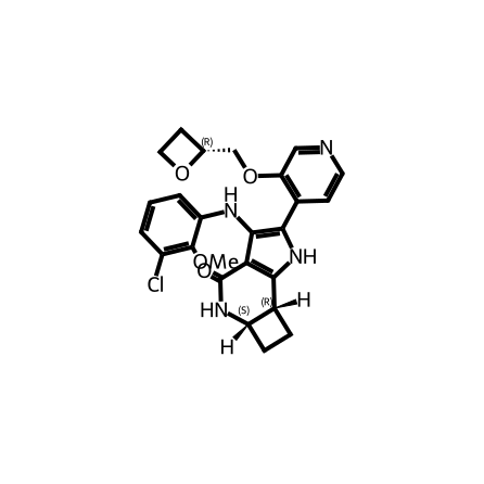 COc1c(Cl)cccc1Nc1c(-c2ccncc2OC[C@H]2CCO2)[nH]c2c1C(=O)N[C@H]1CC[C@@H]21